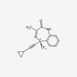 CC1=N[C@](C#CC2CC2)(C(F)(F)F)c2ccccc2NC1=O